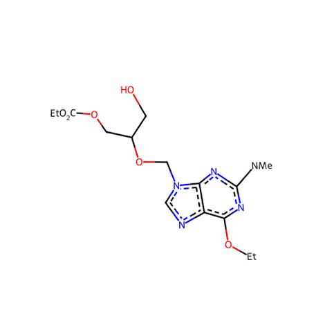 CCOC(=O)OCC(CO)OCn1cnc2c(OCC)nc(NC)nc21